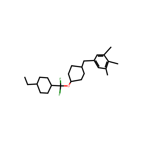 CCC1CCC(C(F)(F)OC2CCC(Cc3cc(C)c(C)c(C)c3)CC2)CC1